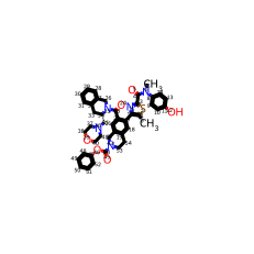 Cc1sc(C(=O)N(C)c2ccc(O)cc2)nc1-c1cc2c(cc1C(=O)N1Cc3ccccc3C[C@H]1CN1CCOCC1)CN(C(=O)Oc1ccccc1)CC2